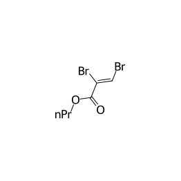 CCCOC(=O)C(Br)=CBr